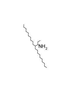 CCCCCCCCCCC(CCCCCCCCCC)C(N)CC